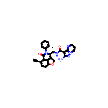 C#Cc1ccc2c3c(c([C@H](C)NC(=O)c4c(N)nn5cccnc45)n(-c4ccccc4)c(=O)c13)CO2